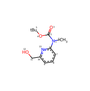 CN(C(=O)OC(C)(C)C)c1cccc(CO)n1